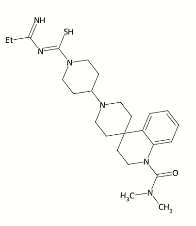 CCC(=N)/N=C(\S)N1CCC(N2CCC3(CCN(C(=O)N(C)C)c4ccccc43)CC2)CC1